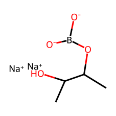 CC(O)C(C)OB([O-])[O-].[Na+].[Na+]